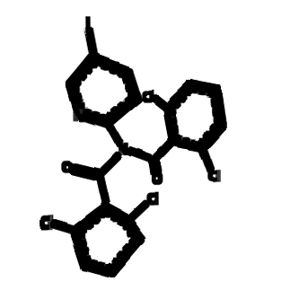 O=C(c1c(Cl)cccc1Cl)N(C(=O)c1c(Cl)cccc1Cl)c1ccc(I)cn1